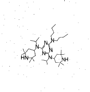 CCCCN(CCCC)c1nc(N(C(C)C)C2CC(C)(C)NC(C)(C)C2)nc(N(C(C)C)C2CC(C)(C)NC(C)(C)C2)n1